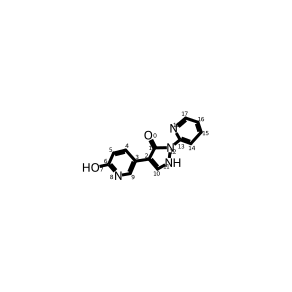 O=c1c(-c2ccc(O)nc2)c[nH]n1-c1ccccn1